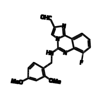 COc1ccc(CNc2nc3c(F)cccc3c3nc(C=O)cn23)c(OC)c1